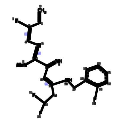 C=C/C(F)=C\N=C(/NC)C(=N)/C=C(/CC(F)F)NCc1ccccc1F